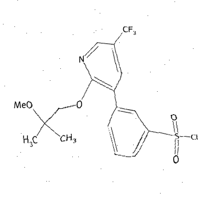 COC(C)(C)COc1ncc(C(F)(F)F)cc1-c1cccc(S(C)(=O)=O)c1